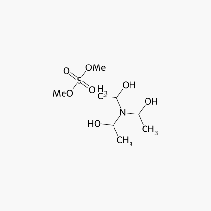 CC(O)N(C(C)O)C(C)O.COS(=O)(=O)OC